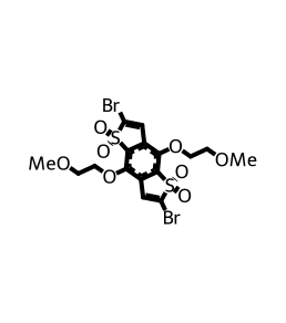 COCCOc1c2c(c(OCCOC)c3c1S(=O)(=O)C(Br)=C3)S(=O)(=O)C(Br)=C2